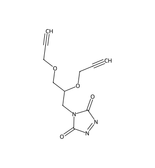 C#CCOCC(CN1C(=O)N=NC1=O)OCC#C